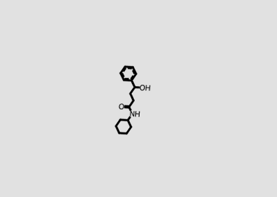 O=C(CCC(O)c1ccccc1)NC1CCCCC1